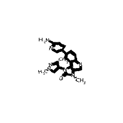 Cc1nn(C)cc1-n1c(=O)n(C)c2cnc3ccc(-c4ccc(N)nc4)cc3c21